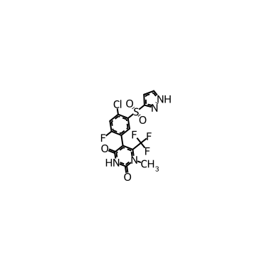 Cn1c(C(F)(F)F)c(-c2cc(S(=O)(=O)c3cc[nH]n3)c(Cl)cc2F)c(=O)[nH]c1=O